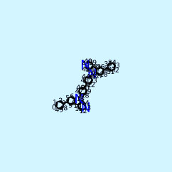 c1ccc(-c2ccc3c(c2)c2ccncc2n3-c2ccc(-c3ccc(-n4c5ccc(-c6ccccc6)cc5c5ccncc54)cc3)cc2)cc1